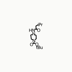 CC(C)CC(=O)NN1CCN(C(=O)OC(C)(C)C)CC1